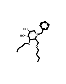 CCCCOCC1C(OCCCC)[C@H](O)[C@H](O)CN1Cc1ccccc1